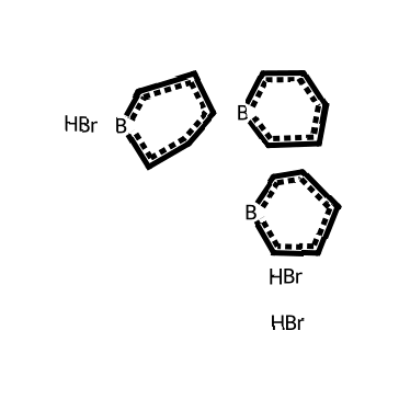 Br.Br.Br.b1ccccc1.b1ccccc1.b1ccccc1